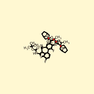 C[C@@H](CN1C2CCC1CC(C#N)C2)Oc1nc(N2CC3CCC(C2)N3C(=O)OC(C)(C)C)c2cc(Cl)c(-c3ccc(F)c4sc(NC(=O)OC(C)(C)C)c(C#N)c34)c(F)c2n1